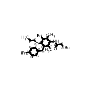 C=CCOc1c(Br)c(C)c(NC(=O)CC(C)(C)C)c(C)c1Cc1ccc(C(C)C)cc1